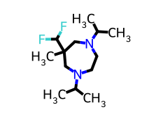 CC(C)N1CCN(C(C)C)CC(C)(C(F)F)C1